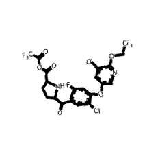 O=C(OC(=O)C(F)(F)F)C1CCC(C(=O)c2cc(Cl)c(Oc3cnc(OCC(F)(F)F)c(Cl)c3)cc2F)N1